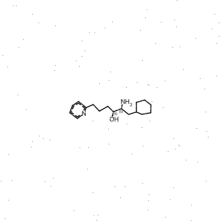 N[C@@H](CC1CCCCC1)[C@@H](O)CCCc1ccccn1